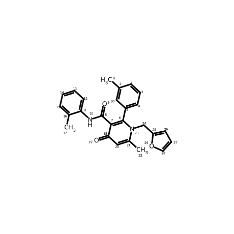 Cc1cccc(-c2c(C(=O)Nc3ccccc3C)c(=O)cc(C)n2Cc2ccco2)c1